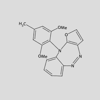 COc1cc(C)cc(OC)c1N1c2ccccc2N=Nc2ccoc21